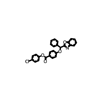 O=C(Oc1ccc(Cl)cc1)c1ccc(OC(c2ccccc2)c2nc3ccccc3o2)cc1